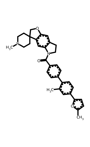 Cc1ccc(-c2ccc(-c3ccc(C(=O)N4CCc5cc6c(cc54)C4(CCN(C)CC4)CO6)cc3)c(C)c2)o1